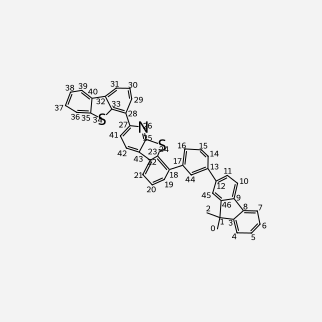 CC1(C)c2ccccc2-c2ccc(-c3cccc(-c4cccc5c4sc4nc(-c6cccc7c6sc6ccccc67)ccc45)c3)cc21